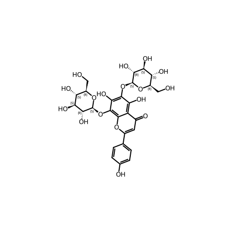 O=c1cc(-c2ccc(O)cc2)oc2c(O[C@@H]3O[C@H](CO)[C@@H](O)[C@H](O)[C@H]3O)c(O)c(O[C@@H]3O[C@H](CO)[C@@H](O)[C@H](O)[C@H]3O)c(O)c12